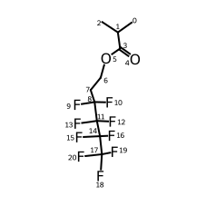 CC(C)C(=O)OCCC(F)(F)C(F)(F)C(F)(F)C(F)(F)F